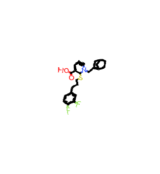 O=C(O)C1=CC=CN(CC2CC3CCC2C3)C1SCCCc1ccc(F)c(F)c1